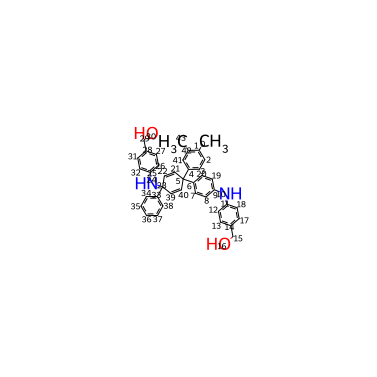 Cc1ccc(C2(c3ccc(Nc4ccc(CO)cc4)cc3)C=CC(Nc3ccc(CO)cc3)(c3ccccc3)C=C2)cc1C